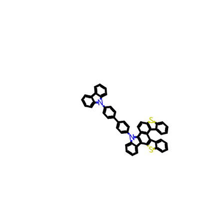 c1ccc2c(c1)sc1ccc3c(c12)c1c2ccccc2sc1c1c2ccccc2n(-c2ccc(-c4ccc(-n5c6ccccc6c6ccccc65)cc4)cc2)c31